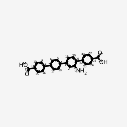 Nc1cc(-c2ccc(-c3ccc(C(=O)O)cc3)cc2)ccc1-c1ccc(C(=O)O)cc1